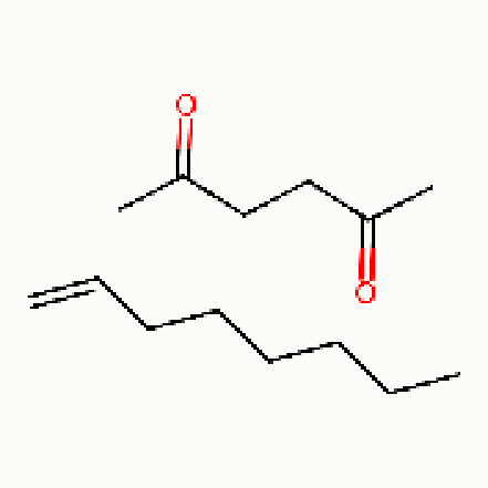 C=CCCCCCC.CC(=O)CCC(C)=O